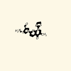 Cc1cn(-c2nccs2)c2nc(N3C[C@H](CN)[C@@H](C=O)C3)ccc2c1=O